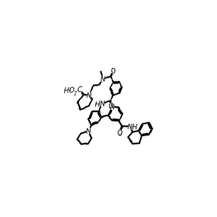 CN(CCN1CCCCC1C(=O)O)C(=O)c1cccc(C(=O)Nc2ccc(N3CCCCC3)cc2-c2cc(C(=O)NC3CCCc4ccccc43)ccn2)c1